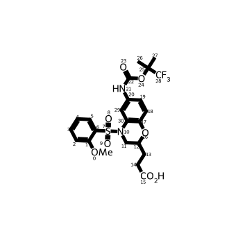 COc1ccccc1S(=O)(=O)N1CC(CCC(=O)O)Oc2ccc(NC(=O)OC(C)(C)C(F)(F)F)cc21